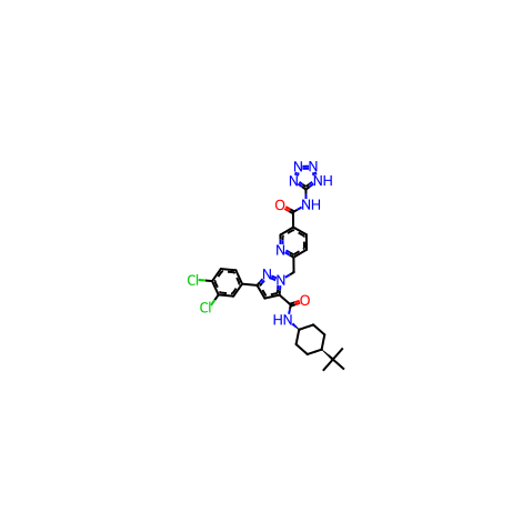 CC(C)(C)[C@H]1CC[C@@H](NC(=O)c2cc(-c3ccc(Cl)c(Cl)c3)nn2Cc2ccc(C(=O)Nc3nnn[nH]3)cn2)CC1